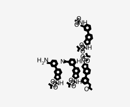 CC(=O)Cc1cccc(-c2ccc3c(c2)CC(NS(=O)(=O)C(C)C)C3)c1.CC(C)S(=O)(=O)NC1Cc2ccc(-c3cccc(C#N)c3)cc2C1.CC(C)S(=O)(=O)NC1Cc2ccc(-c3cccc(CN)c3)cc2C1.CC(C)S(=O)(=O)NC1Cc2ccc(-c3cccc(CNS(C)(=O)=O)c3)cc2C1